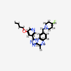 CCCCOc1cncc(-c2nnc3c(C)nc4ccc(CN5CCC(F)CC5)cc4n23)c1